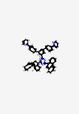 c1ccc(-c2ccc(-c3cc(-c4ccc(-c5ccccn5)cc4)cc(-c4nc(-c5cc6ccccc6c6ccccc56)nc(-c5cc6ccccc6c6ccccc56)n4)c3)cc2)nc1